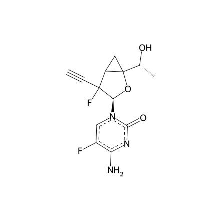 C#CC1(F)C2CC2([C@@H](C)O)O[C@H]1n1cc(F)c(N)nc1=O